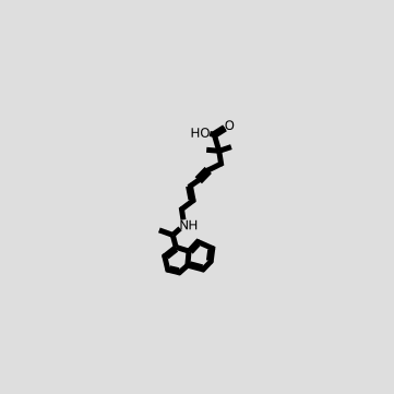 CC(NCC=CC#CCC(C)(C)C(=O)O)c1cccc2ccccc12